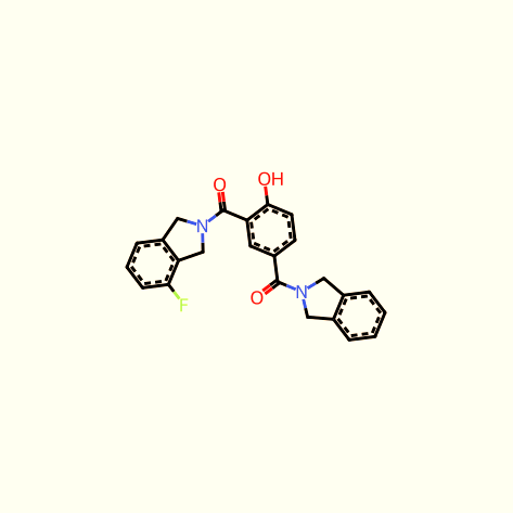 O=C(c1ccc(O)c(C(=O)N2Cc3cccc(F)c3C2)c1)N1Cc2ccccc2C1